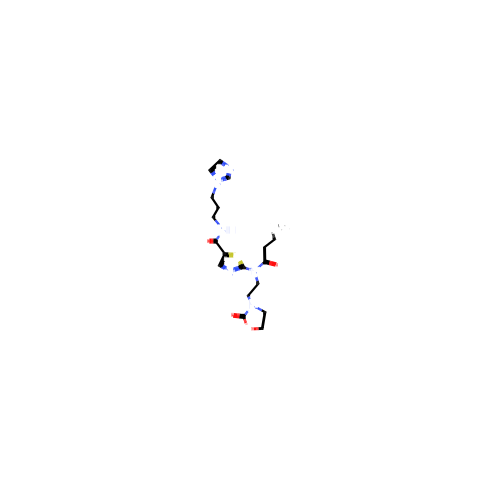 COCCC(=O)N(CCN1CCOC1=O)c1ncc(C(=O)NCCCn2ccnc2)s1